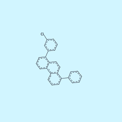 Clc1cccc(-c2cccc3c2ccc2c(-c4ccccc4)cccc23)c1